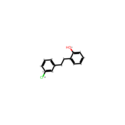 Oc1ccccc1CCc1cccc(Cl)c1